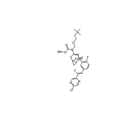 CC(C)(C)OC(=O)N(COCC[Si](C)(C)C)C1=NC(C)(c2cc(C=C(F)c3cnc(Cl)cn3)ccc2F)C2CC2(C(=O)O)S1